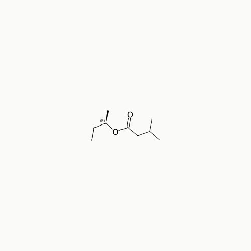 CC[C@@H](C)OC(=O)CC(C)C